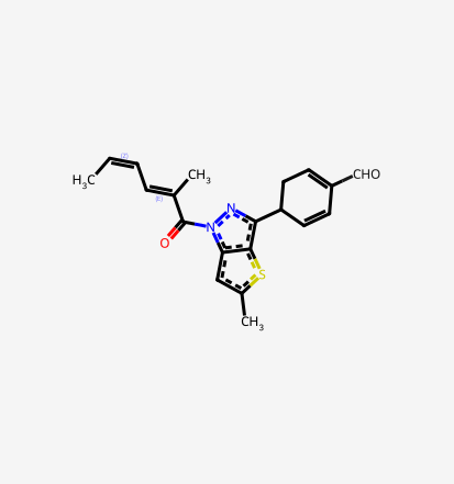 C/C=C\C=C(/C)C(=O)n1nc(C2C=CC(C=O)=CC2)c2sc(C)cc21